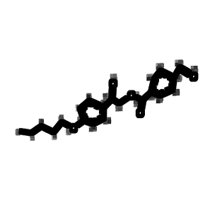 CCCCCOc1ccc(C(=O)COC(=O)c2ccc(C=O)cc2)cc1